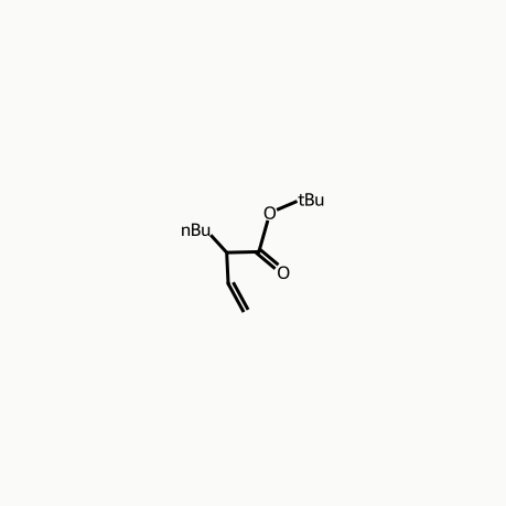 C=CC(CCCC)C(=O)OC(C)(C)C